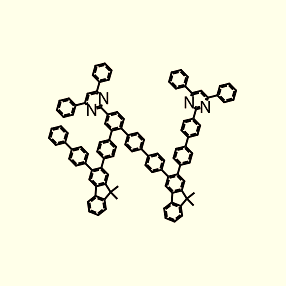 CC1(C)c2ccccc2-c2cc(-c3ccc(-c4ccc(-c5ccc(-c6nc(-c7ccccc7)cc(-c7ccccc7)n6)cc5-c5ccc(-c6cc7c(cc6-c6ccc(-c8ccccc8)cc6)-c6ccccc6C7(C)C)cc5)cc4)cc3)c(-c3ccc(-c4ccc(-c5nc(-c6ccccc6)cc(-c6ccccc6)n5)cc4)cc3)cc21